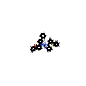 CN1C(n2c3cc(-c4ccccc4)ccc3c3c4oc5ccccc5c4ccc32)=Nc2ccccc2C1c1cccc2c1sc1ccccc12